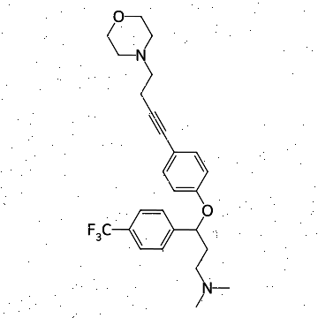 CN(C)CCC(Oc1ccc(C#CCCN2CCOCC2)cc1)c1ccc(C(F)(F)F)cc1